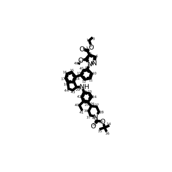 CCOC(=O)c1cnn(-c2cccc(-c3cccc4c3C(Nc3ccc(C5CCN(C(=O)OC(C)(C)C)CC5)c(CC)c3)CC4)c2)c1OC